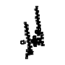 C=C(C)C(=O)OCCCCCCCCCCCC.C=CC[N+](C)(C)CCCCCCCCCCCCCCCC.C=Cc1ccccc1C=C.O=C1C=CC(=O)O1.[Cl-]